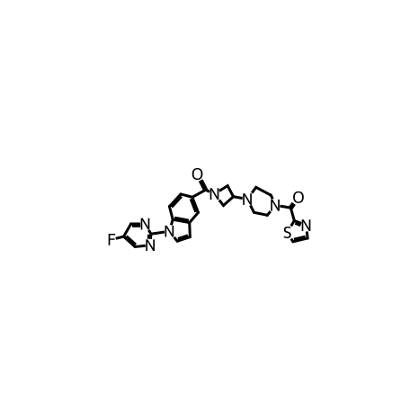 O=C(c1ccc2c(ccn2-c2ncc(F)cn2)c1)N1CC(N2CCN(C(=O)c3nccs3)CC2)C1